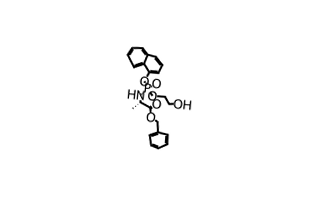 C[C@H](N[P@](=O)(OCCO)Oc1cccc2ccccc12)C(=O)OCc1ccccc1